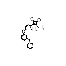 Nc1c(C(N)/C=C\COc2cccc(CN3CCCCC3)c2)c(=O)c1=O